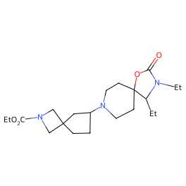 CCOC(=O)N1CC2(CCC(N3CCC4(CC3)OC(=O)N(CC)C4CC)C2)C1